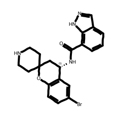 O=C(N[C@H]1CC2(CCNCC2)Oc2ccc(Br)cc21)c1cccc2cn[nH]c12